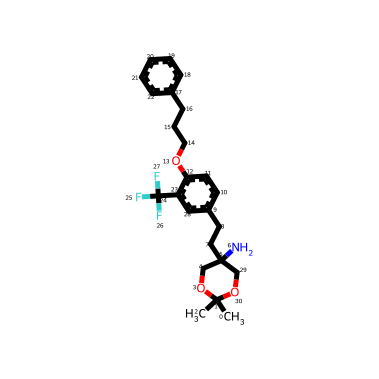 CC1(C)OCC(N)(CCc2ccc(OCCCc3ccccc3)c(C(F)(F)F)c2)CO1